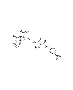 C[C@H](O)[C@@H]1C(=O)N2C(C(=O)O)=C(SCCNC(=O)C(N)C(=O)OCc3ccc([N+](=O)[O-])cc3)C[C@H]12